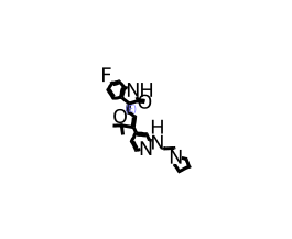 CC1(C)O/C(=C2/C(=O)Nc3cc(F)ccc32)C=C1c1ccnc(NCCN2CCCC2)c1